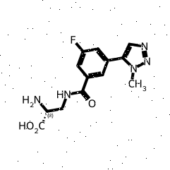 Cn1nncc1-c1cc(F)cc(C(=O)NC[C@@H](N)C(=O)O)c1